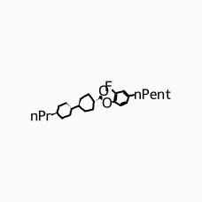 CCCCCc1ccc(OC(=O)[C@H]2CC[C@H]([C@H]3CC[C@H](CCC)CC3)CC2)c(F)c1